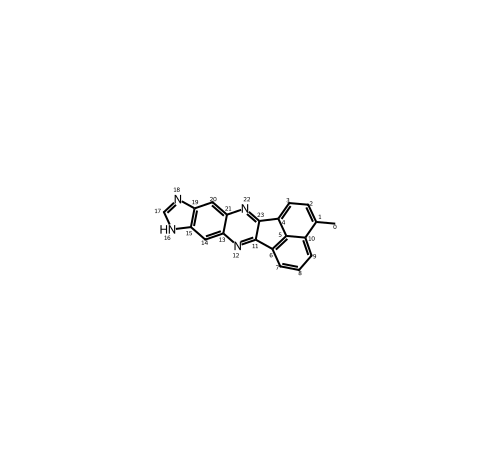 Cc1ccc2c3c(cccc13)-c1nc3cc4[nH]cnc4cc3nc1-2